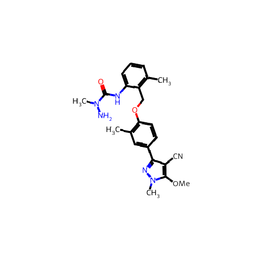 COc1c(C#N)c(-c2ccc(OCc3c(C)cccc3NC(=O)N(C)N)c(C)c2)nn1C